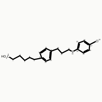 O=C(O)CCCCCc1ccc(CCCSc2ccc(Cl)cc2)cc1